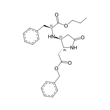 CCCOC(=O)[C@H](Cc1ccccc1)N[C@H]1CC(=O)N[C@@H]1CC(=O)OCc1ccccc1